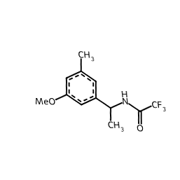 COc1cc(C)cc(C(C)NC(=O)C(F)(F)F)c1